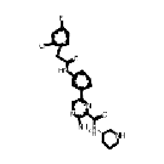 Nc1ncc(-c2cccc(NC(=O)Cc3ccc(F)cc3Cl)c2)nc1C(=O)N[C@H]1CCCNC1